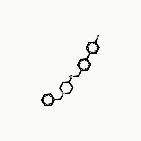 Fc1ccc(-c2ccc(CNC3CCN(Cc4ccccc4)CC3)cc2)cc1